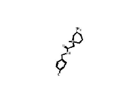 C[N+]1(CC(=O)NCc2ccc(Cl)cc2)CCC[C@@H](N)C1